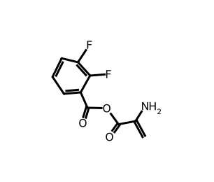 C=C(N)C(=O)OC(=O)c1cccc(F)c1F